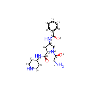 NCC(=O)N1CC(NC(=O)c2ccccc2)CC1C(=O)NC1CCNCC1